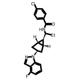 CCC(NC(=O)c1ccc(Cl)cc1)[C@H]1[C@@H]2C[C@@H](n3ncc4c(F)cccc43)C[C@@H]21